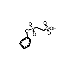 O=S(=O)(O)CCS(=O)(=O)Oc1ccccc1